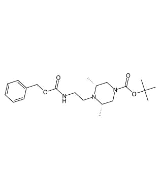 C[C@@H]1CN(C(=O)OC(C)(C)C)C[C@H](C)N1CCNC(=O)OCc1ccccc1